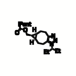 CCCC(C)C(=O)OC[C@@H]1[C@@H]2CCc3c(nnn3C(CC)CC)CC[C@@H]21